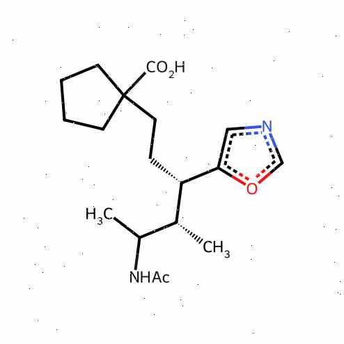 CC(=O)NC(C)[C@@H](C)[C@H](CCC1(C(=O)O)CCCC1)c1cnco1